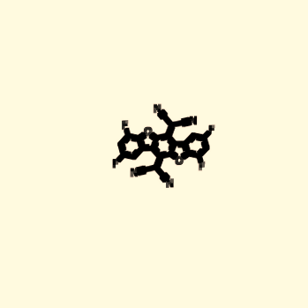 N#CC(C#N)=c1c2oc3c(F)cc(F)cc3c2c(=C(C#N)C#N)c2oc3c(F)cc(F)cc3c12